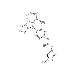 Nc1ncnc2c3c(n(-c4ccc(NC(=O)Cn5cnc(C(F)(F)F)c5)cc4)c12)CCC3